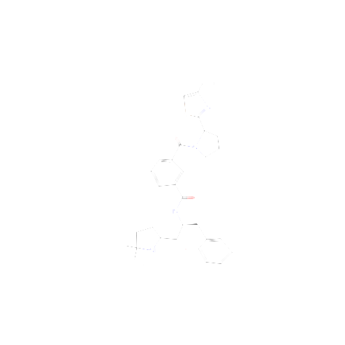 Cc1csc(C2CCCN2C(=O)c2cccc(C(=O)N[C@@H](Cc3ccccc3)[C@H](O)C3CCC(C)(C)N3)c2)n1